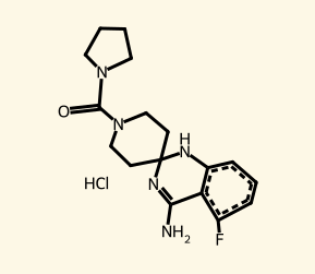 Cl.NC1=NC2(CCN(C(=O)N3CCCC3)CC2)Nc2cccc(F)c21